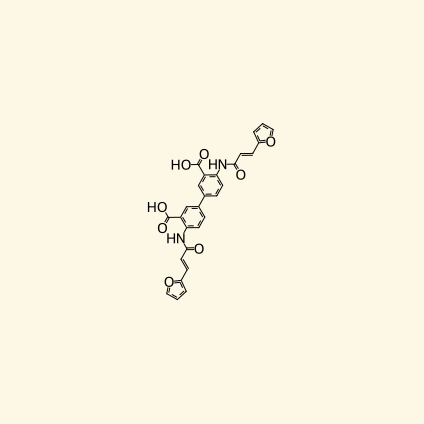 O=C(C=Cc1ccco1)Nc1ccc(-c2ccc(NC(=O)C=Cc3ccco3)c(C(=O)O)c2)cc1C(=O)O